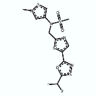 Cn1cc(N(Cc2ncc(-c3nnc(C(F)F)o3)s2)S(C)(=O)=O)cn1